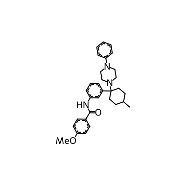 COc1ccc(C(=O)Nc2cccc(C3(N4CCN(c5ccccc5)CC4)CCC(C)CC3)c2)cc1